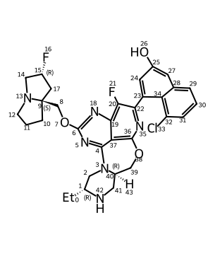 CC[C@@H]1CN2c3nc(OC[C@@]45CCCN4C[C@H](F)C5)nc4c(F)c(-c5cc(O)cc6cccc(Cl)c56)nc(c34)OC[C@H]2CN1